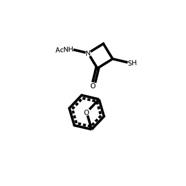 CC(=O)NN1CC(S)C1=O.c1cc2cc(c1)O2